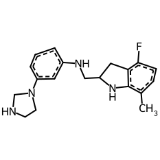 Cc1ccc(F)c2c1NC(CNc1cccc(N3CCNC3)c1)C2